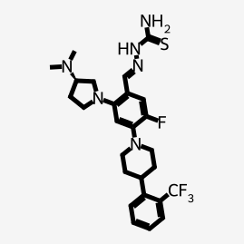 CN(C)[C@@H]1CCN(c2cc(N3CCC(c4ccccc4C(F)(F)F)CC3)c(F)cc2C=NNC(N)=S)C1